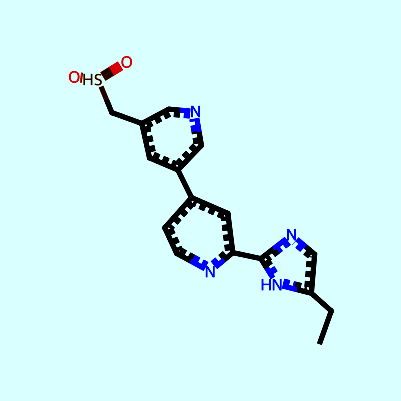 CCc1cnc(-c2cc(-c3cncc(C[SH](=O)=O)c3)ccn2)[nH]1